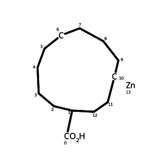 O=C(O)C1CCCCCCCCCCC1.[Zn]